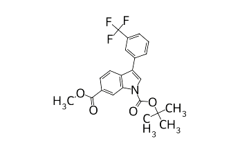 COC(=O)c1ccc2c(-c3cccc(C(F)(F)F)c3)cn(C(=O)OC(C)(C)C)c2c1